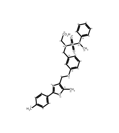 Cc1ccc(-c2nc(COc3cccc(CN(CC(=O)O)S(=O)(=O)N(C)c4ccccc4)c3)c(C)o2)cc1